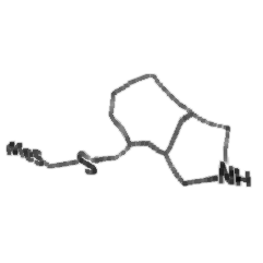 CSSC1CCC2CNCC21